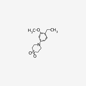 CCc1ccc(N2CCS(=O)(=O)CC2)cc1OC